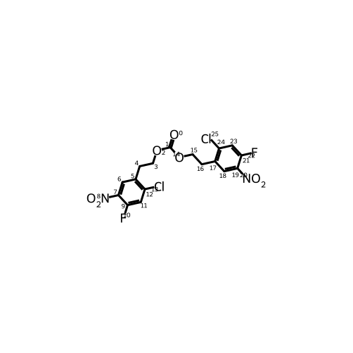 O=C(OCCc1cc([N+](=O)[O-])c(F)cc1Cl)OCCc1cc([N+](=O)[O-])c(F)cc1Cl